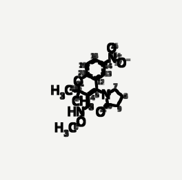 CONCC1=C(N2CCCC2=O)c2cc([N+](=O)[O-])ccc2OC1(C)C